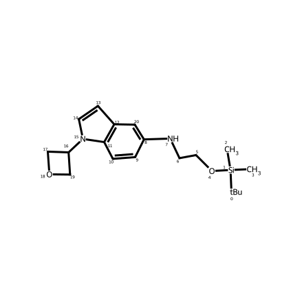 CC(C)(C)[Si](C)(C)OCCNc1ccc2c(ccn2C2COC2)c1